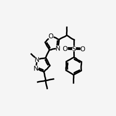 Cc1ccc(S(=O)(=O)CC(C)c2nc(-c3cc(C(C)(C)C)nn3C)co2)cc1